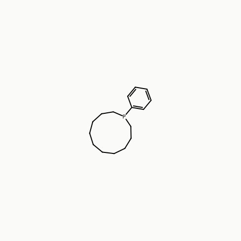 c1ccc(P2CCCCCCCCCC2)cc1